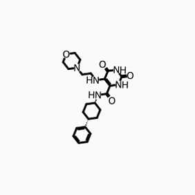 O=C(N[C@H]1CC[C@@H](c2ccccc2)CC1)c1[nH]c(=O)[nH]c(=O)c1NCCN1CCOCC1